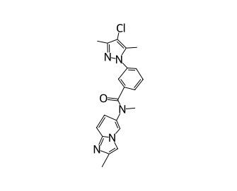 Cc1cn2cc(N(C)C(=O)c3cccc(-n4nc(C)c(Cl)c4C)c3)ccc2n1